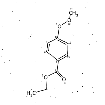 CCOC(=O)c1ccc(OOC)cc1